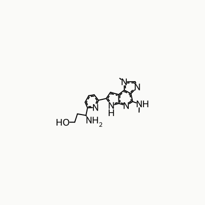 CNc1nc2[nH]c(-c3cccc([C@H](N)CCO)n3)cc2c2c1ncn2C